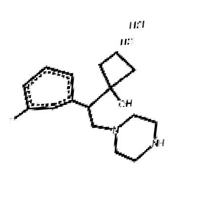 Cl.Cl.OC1(C(CN2CCNCC2)c2cccc(F)c2)CCC1